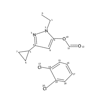 CCn1nc(C2CC2)cc1OC=O.Clc1ccccc1Cl